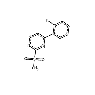 CS(=O)(=O)c1nncc(-c2ccccc2F)n1